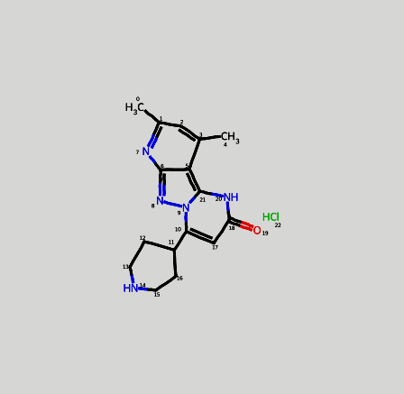 Cc1cc(C)c2c(n1)nn1c(C3CCNCC3)cc(=O)[nH]c21.Cl